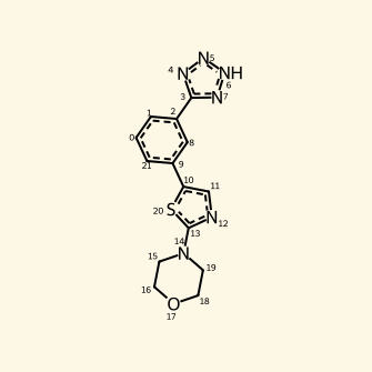 c1cc(-c2nn[nH]n2)cc(-c2cnc(N3CCOCC3)s2)c1